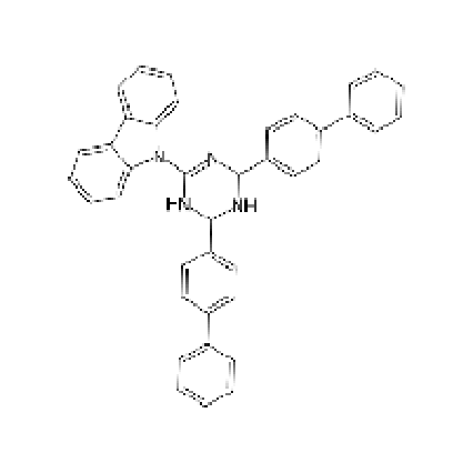 c1ccc(-c2ccc(C3N=C(n4c5ccccc5c5ccccc54)NC(c4ccc(-c5ccccc5)cc4)N3)cc2)cc1